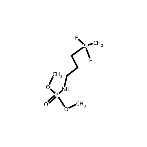 COP(=O)(NCCC[Si](C)(F)F)OC